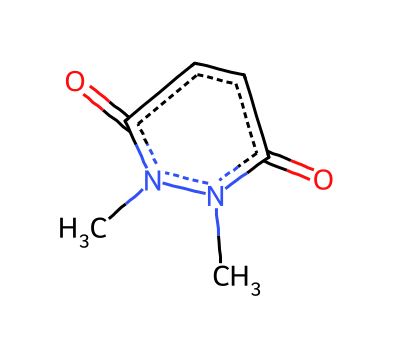 Cn1c(=O)ccc(=O)n1C